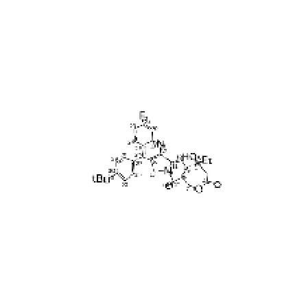 CC[C@@]1(O)CC(=O)OCc2c1cc1n(c2=O)Cc2c-1nc1cc(F)ccc1c2-c1ccc(C(C)(C)C)cc1